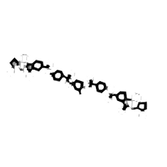 Cc1cc(OC(=O)c2ccc(OC(=O)c3ccc4c(c3)C(=O)N(CN3C(=O)C=CC3=O)C4=O)cc2)ccc1OC(=O)c1ccc(OC(=O)c2ccc3c(c2)C(=O)N(CC2C(=O)C=CC2=O)C3=O)cc1